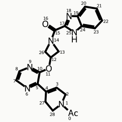 CC(=O)N1CC=C(c2nccnc2OC2CN(C(=O)c3nc4ccccc4[nH]3)C2)CC1